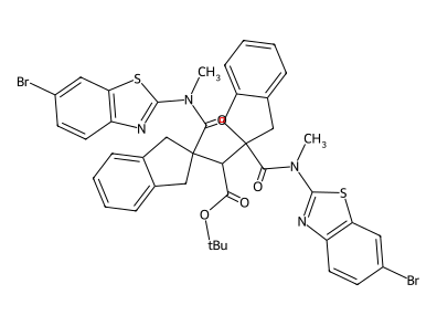 CN(C(=O)C1(C(C(=O)OC(C)(C)C)C2(C(=O)N(C)c3nc4ccc(Br)cc4s3)Cc3ccccc3C2)Cc2ccccc2C1)c1nc2ccc(Br)cc2s1